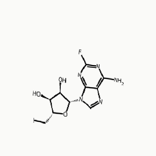 Nc1nc(F)nc2c1ncn2[C@@H]1O[C@H](CI)[C@@H](O)[C@H]1O